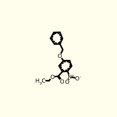 CCOC(=O)c1cc(OCc2ccccc2)ccc1[N+](=O)[O-]